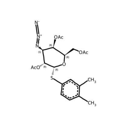 CC(=O)OC[C@H]1O[C@H](Sc2ccc(C)c(C)c2)[C@H](OC(C)=O)[C@@H](N=[N+]=[N-])[C@H]1OC(C)=O